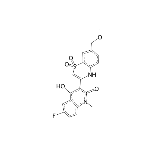 COCc1ccc2c(c1)S(=O)(=O)C=C(c1c(O)c3cc(F)ccc3n(C)c1=O)N2